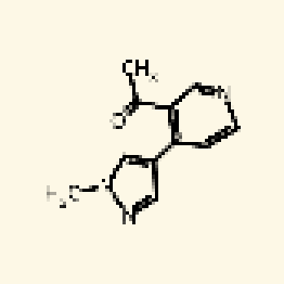 CC(=O)c1cnccc1-c1cnn(C)c1